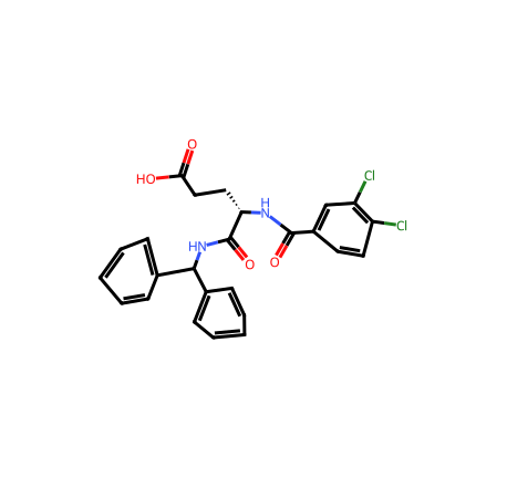 O=C(O)CC[C@H](NC(=O)c1ccc(Cl)c(Cl)c1)C(=O)NC(c1ccccc1)c1ccccc1